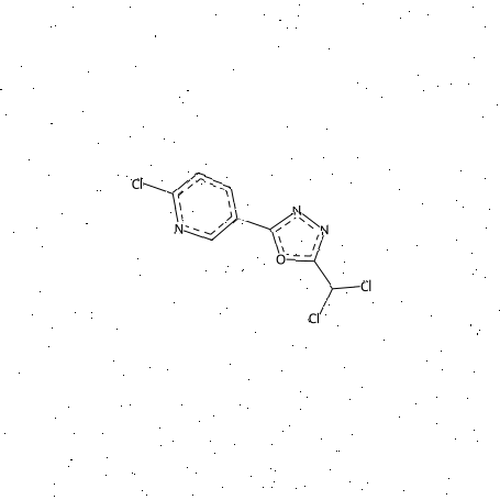 Clc1ccc(-c2nnc(C(Cl)Cl)o2)cn1